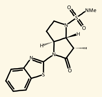 CNS(=O)(=O)N1CC[C@H]2[C@H]1[C@H](C)C(=O)N2c1nc2ccccc2s1